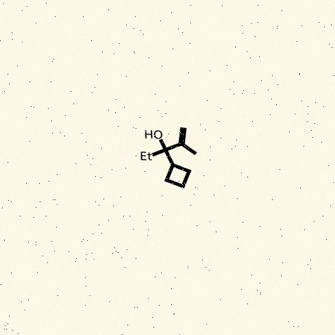 C=C(C)C(O)(CC)C1CCC1